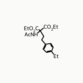 CCOC(=O)C(CCc1ccc(CC)cc1)(NC(C)=O)C(=O)OCC